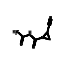 CC(=O)NC(=O)N1CC1C#N